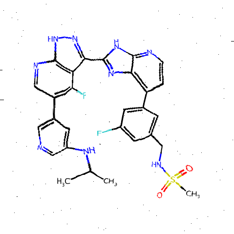 CC(C)Nc1cncc(-c2cnc3[nH]nc(-c4nc5c(-c6cc(F)cc(CNS(C)(=O)=O)c6)ccnc5[nH]4)c3c2F)c1